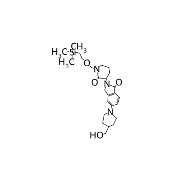 C[Si](C)(C)CCOCN1CCCC(N2Cc3cc(N4CCC(CO)CC4)ccc3C2=O)C1=O